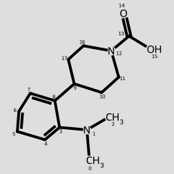 CN(C)c1ccccc1C1CCN(C(=O)O)CC1